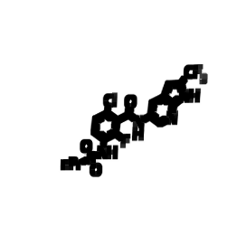 CCCS(=O)(=O)Nc1ccc(Cl)c(C(=O)Nc2cnc3[nH]c(C(F)(F)F)cc3c2)c1F